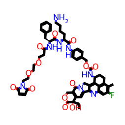 CC[C@@]1(O)C(=O)OCc2c1cc1n(c2=O)Cc2c-1nc1cc(F)c(C)c3c1c2[C@@H](NC(=O)OCc1ccc(NC(=O)C(CCCCN)NC(=O)[C@H](Cc2ccccc2)NC(=O)CCOCCOCCN2C(=O)C=CC2=O)cc1)CC3